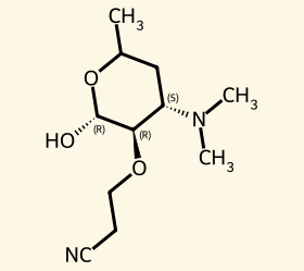 CC1C[C@H](N(C)C)[C@@H](OCCC#N)[C@H](O)O1